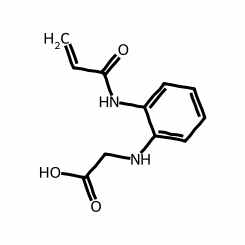 C=CC(=O)Nc1ccccc1NCC(=O)O